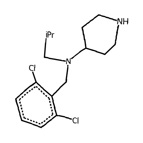 CC(C)CN(Cc1c(Cl)cccc1Cl)C1CCNCC1